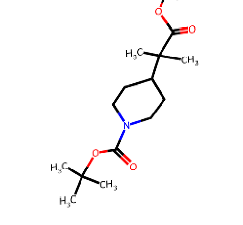 COC(=O)C(C)(C)C1CCN(C(=O)OC(C)(C)C)CC1